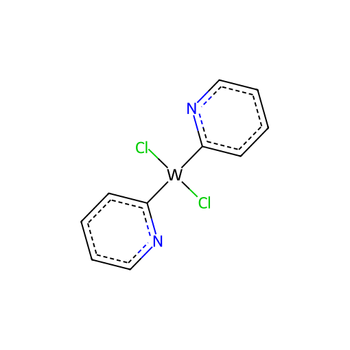 [Cl][W]([Cl])([c]1ccccn1)[c]1ccccn1